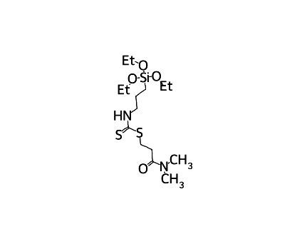 CCO[Si](CCCNC(=S)SCCC(=O)N(C)C)(OCC)OCC